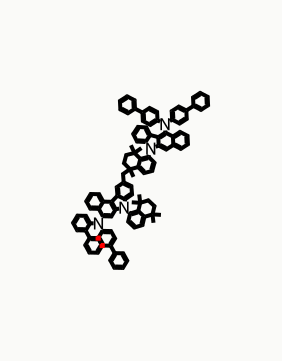 CC1(C)CCC(C)(C)c2c(-n3c4ccc(CC5(C)CCC(C)(C)c6c(-n7c8ccccc8c8c(N(c9ccc(-c%10ccccc%10)cc9)c9ccc(-c%10ccccc%10)cc9)c9ccccc9cc87)cccc65)cc4c4c5ccccc5c(N(c5ccc(-c6ccccc6)cc5)c5ccccc5-c5ccccc5)cc43)cccc21